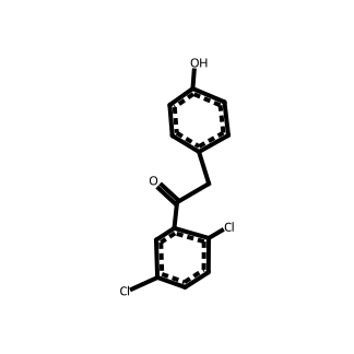 O=C(Cc1ccc(O)cc1)c1cc(Cl)ccc1Cl